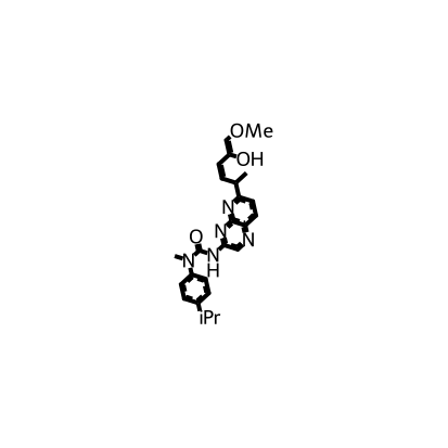 CO/C=C(O)/C=C\C(C)c1ccc2ncc(NC(=O)N(C)c3ccc(C(C)C)cc3)nc2n1